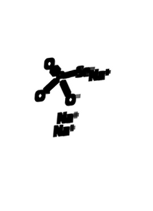 O=P([O-])([O-])[Se-].[Na+].[Na+].[Na+]